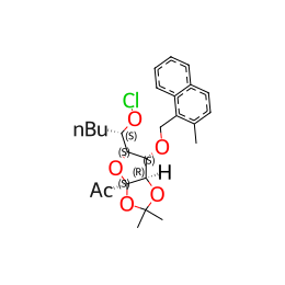 CCCC[C@H](OCl)[C@H]1O[C@]2(C(C)=O)OC(C)(C)O[C@@H]2[C@H]1OCc1c(C)ccc2ccccc12